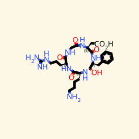 N=C(N)NCCC[C@@H]1NC(=O)[C@@H](CCCCN)NC(O)[C@H](Cc2ccccc2)NC(=O)[C@H](CC(=O)O)NC(=O)CNC1=O